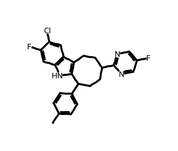 Cc1ccc(C2CCC(c3ncc(F)cn3)CCc3c2[nH]c2cc(F)c(Cl)cc32)cc1